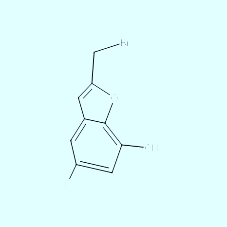 Cc1cc(F)cc2cc(CBr)oc12